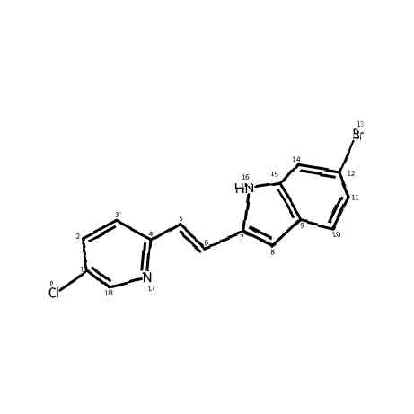 Clc1ccc(C=Cc2cc3ccc(Br)cc3[nH]2)nc1